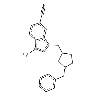 Cn1cc(CC2CCN(Cc3ccccc3)C2)c2cc(C#N)ccc21